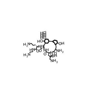 Cl.Cl.Cl.Cl.NCCC[C@H](NC(=O)[C@@H]1Cc2cc(ccc2O)-c2ccc(O)c(c2)C[C@H](N)C(=O)N[C@@H](C[C@@H](O)CN)C(=O)N1)C(=O)NCCN